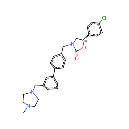 CN1CCN(Cc2cccc(-c3ccc(CN4C[C@@H](c5ccc(Cl)cc5)OC4=O)cc3)c2)CC1